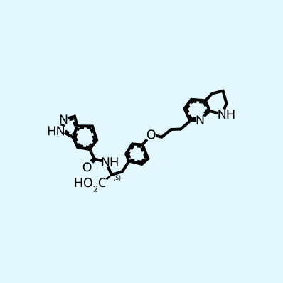 O=C(N[C@@H](Cc1ccc(OCCCc2ccc3c(n2)NCCC3)cc1)C(=O)O)c1ccc2cn[nH]c2c1